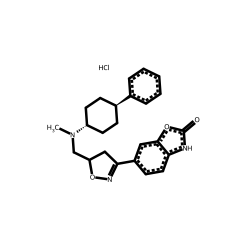 CN(CC1CC(c2ccc3[nH]c(=O)oc3c2)=NO1)[C@H]1CC[C@H](c2ccccc2)CC1.Cl